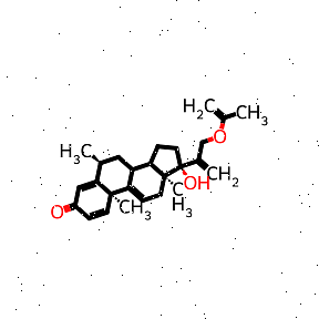 C=C(C)OCC(=C)[C@@]1(O)CCC2C3C[C@H](C)C4=CC(=O)C=C[C@]4(C)C3=CC[C@@]21C